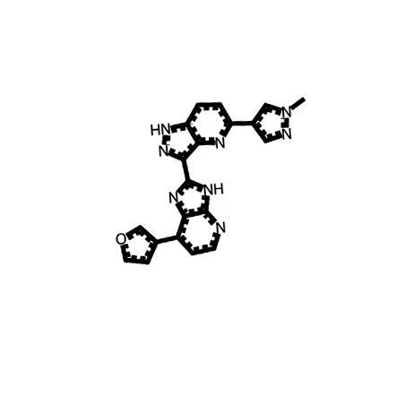 Cn1cc(-c2ccc3[nH]nc(-c4nc5c(-c6ccoc6)ccnc5[nH]4)c3n2)cn1